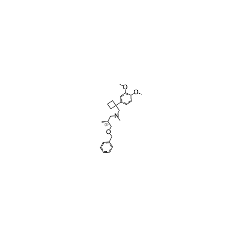 COc1ccc(C2(CN(C)C[C@H](C)COCc3ccccc3)CCC2)cc1OC